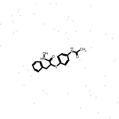 CC(=O)Nc1ccc(SC(Cc2ccccc2)C(=O)NO)cc1